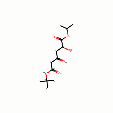 CC(C)OC(=O)[C@@H](O)CC(=O)CC(=O)OC(C)(C)C